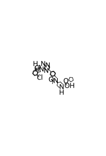 CC(=O)N(Cc1ccc(-c2cnc(N)c(NCc3c(Cl)cccc3Cl)n2)cc1)C1CCN[C@@H](C(O)OC2CCCC2)C1